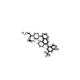 C=CC(=O)N1CCN(c2ncnc3cc(-c4cc(C(F)(F)F)cc5[nH]ncc45)c4c(c23)OCCC4)C[C@@H]1CC#N